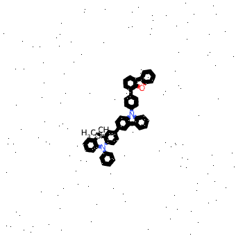 C[Si]1(C)c2ccccc2N(c2ccccc2)c2ccc(-c3ccc4c(c3)c3ccccc3n4-c3ccc(-c4cccc5c4oc4ccccc45)cc3)cc21